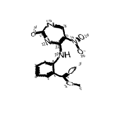 COC(=O)c1ccccc1Nc1nc(Cl)ncc1[N+](=O)[O-]